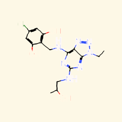 CCn1nnc2c(NCc3c(O)cc(Cl)cc3O)nc(NCC(C)O)nc21